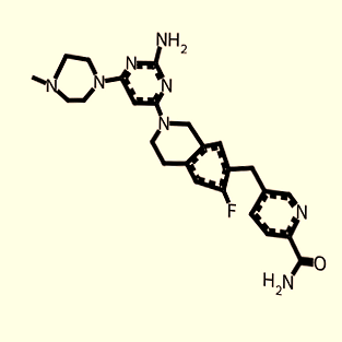 CN1CCN(c2cc(N3CCc4cc(F)c(Cc5ccc(C(N)=O)nc5)cc4C3)nc(N)n2)CC1